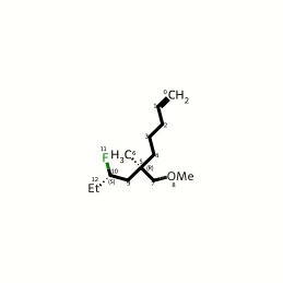 C=CCCC[C@@](C)(COC)C[C@@H](F)CC